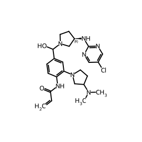 C=CC(=O)Nc1ccc(C(O)N2CC[C@@H](Nc3ncc(Cl)cn3)C2)cc1N1CCC(N(C)C)C1